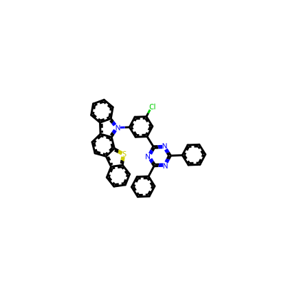 Clc1cc(-c2nc(-c3ccccc3)nc(-c3ccccc3)n2)cc(-n2c3ccccc3c3ccc4c5ccccc5sc4c32)c1